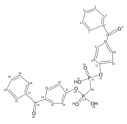 O=C(c1ccccc1)c1ccc(OP(=O)(O)CP(=O)(O)Oc2ccc(C(=O)c3ccccc3)cc2)cc1